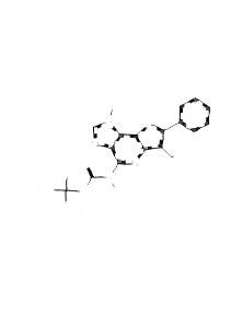 CN(C(=O)OC(C)(C)C)c1nc2c(I)c(-c3ccccc3)sc2c2c1ncn2C